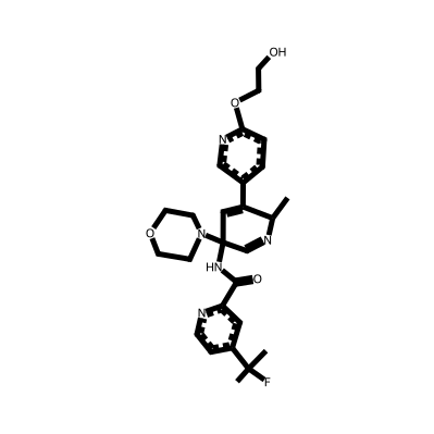 CC1N=CC(NC(=O)c2cc(C(C)(C)F)ccn2)(N2CCOCC2)C=C1c1ccc(OCCO)nc1